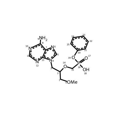 COCC(Cn1cnc2c(N)ncnc21)OCP(=O)(O)Oc1ccccc1